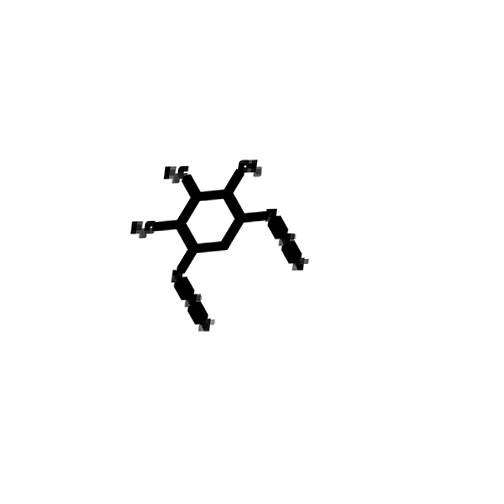 CC1C(N=[N+]=[N-])CC(N=[N+]=[N-])C(C)C1C